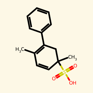 CC1=C(c2ccccc2)CC(C)(S(=O)(=O)O)C=C1